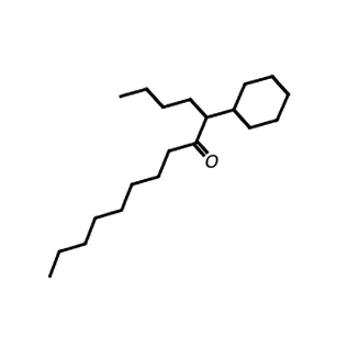 CCCCCCCCC(=O)C(CCCC)C1CCCCC1